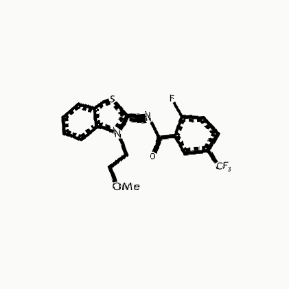 COCCn1c(=NC(=O)c2cc(C(F)(F)F)ccc2F)sc2ccccc21